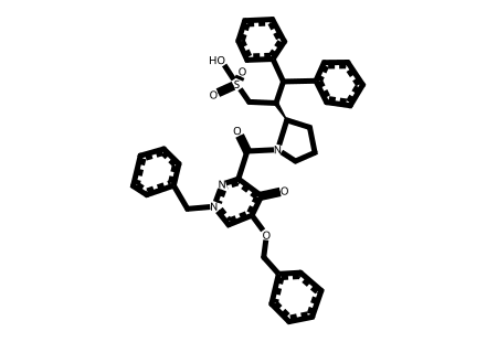 O=C(c1nn(Cc2ccccc2)cc(OCc2ccccc2)c1=O)N1CCC[C@@H]1C(CS(=O)(=O)O)C(c1ccccc1)c1ccccc1